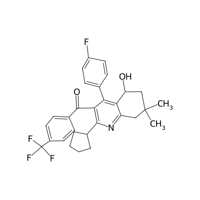 CC1(C)Cc2nc(C3CCCC3)c(C(=O)c3ccc(C(F)(F)F)cc3)c(-c3ccc(F)cc3)c2C(O)C1